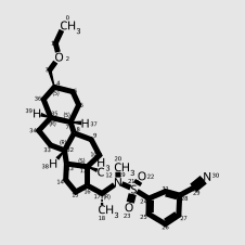 CCOC[C@H]1CC[C@@H]2C3CC[C@@]4(C)C(CCC4[C@@H](C)N(C)S(=O)(=O)c4cccc(C#N)c4)[C@@H]3CC[C@@H]2C1